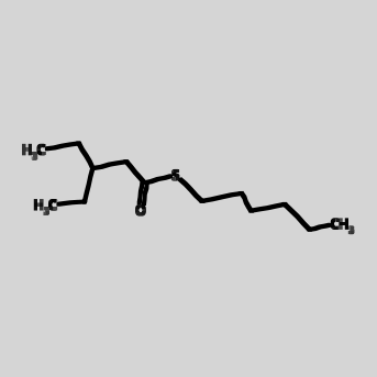 CCCCCCSC(=O)CC(CC)CC